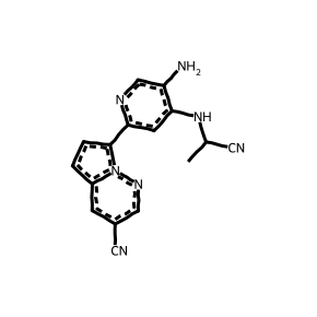 CC(C#N)Nc1cc(-c2ccc3cc(C#N)cnn23)ncc1N